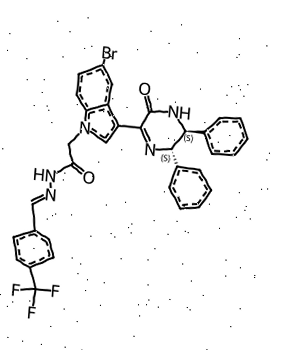 O=C(Cn1cc(C2=N[C@@H](c3ccccc3)[C@H](c3ccccc3)NC2=O)c2cc(Br)ccc21)NN=Cc1ccc(C(F)(F)F)cc1